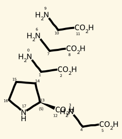 NCC(=O)O.NCC(=O)O.NCC(=O)O.NCC(=O)O.O=C(O)[C@@H]1CCCN1